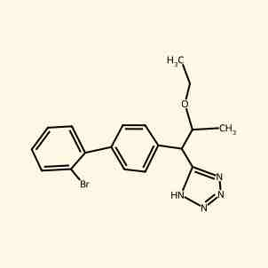 CCOC(C)C(c1ccc(-c2ccccc2Br)cc1)c1nnn[nH]1